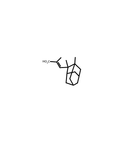 CC(=CC1(C)C2CC3CC(C2)CC1(C)C3)C(=O)O